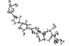 COc1cc2c(cc1C(N)=O)sc1nc(-c3ccc(C4CCN(C(=O)OC(C)(C)C)C4)cc3F)cn12